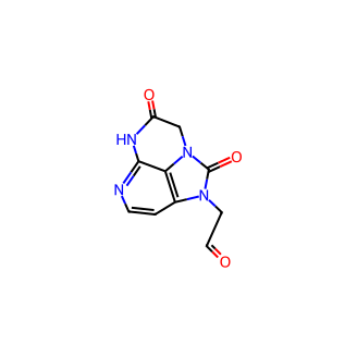 O=CCn1c(=O)n2c3c(nccc31)NC(=O)C2